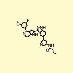 CCCC(=O)Nc1cncc(-c2ccc3[nH]nc(-c4cc5c(-c6cc(F)cc(OC)c6)nccc5[nH]4)c3c2)c1